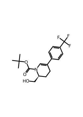 CC(C)(C)OC(=O)N1C=C(c2ccc(C(F)(F)F)cc2)CC[C@H]1CO